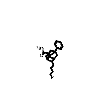 O=C(O)C12CC3CC(c4ccccc4)(CC(C1)C3CCCCF)C2